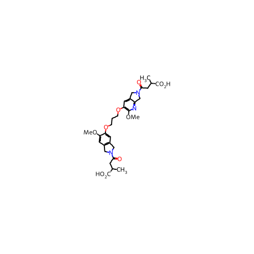 COc1cc2c(cc1OCCCOc1cc3c(nc1OC)CN(C(=O)CC(C)C(=O)O)C3)CN(C(=O)CC(C)C(=O)O)C2